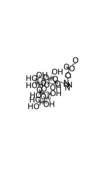 COCCOC(=O)c1ccc(-n2nncc2CO[C@@H]2O[C@@H](CO)[C@@H](O[C@@H]3OC(CO[C@]4(C(=O)O)C[C@@H](O)[C@@H](C)C([C@H](O)[C@H](O)CO)O4)[C@H](O)[C@H](O)C3O)C(O)C2O)cc1